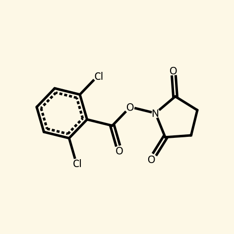 O=C(ON1C(=O)CCC1=O)c1c(Cl)cccc1Cl